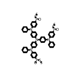 O=P(=S=S)c1ccc(N(c2ccccc2)c2ccc(N(c3ccc(N(c4ccccc4)c4ccc(P(=O)=S=S)cc4)cc3)c3ccc(N(c4ccccc4)c4ccc(P(=O)=S=S)cc4)cc3)cc2)cc1